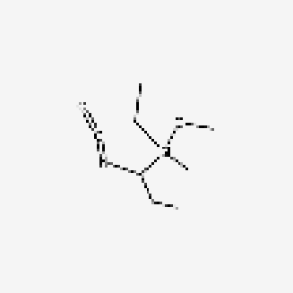 CCC(N=C=O)[Si](C)(CC)OC